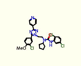 COc1ccc(-c2nc(-c3ccncc3)nn2CCN(C(=O)Nc2cc(Cl)ccc2Cl)C2CCCC2)cc1Cl